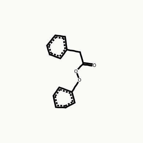 O=C(Cc1ccccc1)OOc1ccccc1